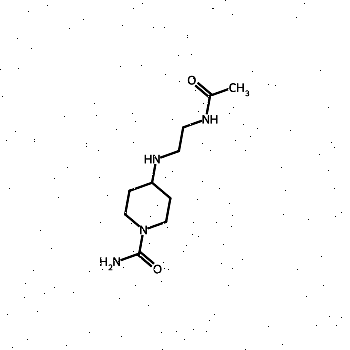 CC(=O)NCCNC1CCN(C(N)=O)CC1